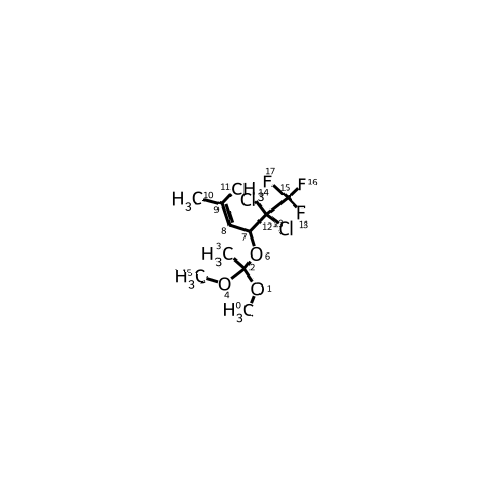 COC(C)(OC)OC(C=C(C)C)C(Cl)(Cl)C(F)(F)F